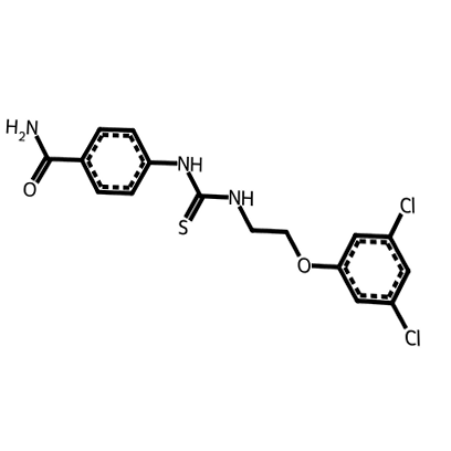 NC(=O)c1ccc(NC(=S)NCCOc2cc(Cl)cc(Cl)c2)cc1